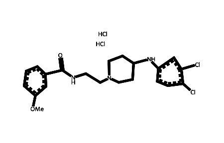 COc1cccc(C(=O)NCCN2CCC(Nc3ccc(Cl)c(Cl)c3)CC2)c1.Cl.Cl